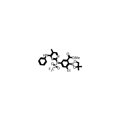 CCc1cc(N(c2ncc(C)c(Nc3ccccc3)n2)S(=O)(=O)C(F)(F)F)cc(C(=O)OC)c1B1OCC(C)(C)O1